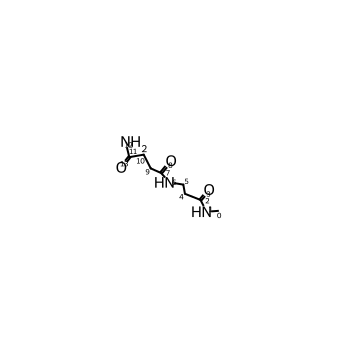 CNC(=O)CCNC(=O)CCC(N)=O